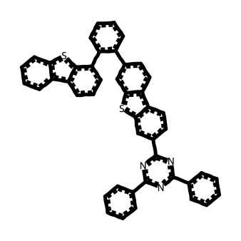 c1ccc(-c2nc(-c3ccccc3)nc(-c3ccc4c(c3)sc3cc(-c5ccccc5-c5cccc6c5sc5ccccc56)ccc34)n2)cc1